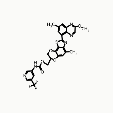 COc1cnc2c(-c3nc4c(C)cc5c(c4s3)OCC(COC(=O)Nc3cncc(C(F)(F)F)c3)O5)cc(C)cc2n1